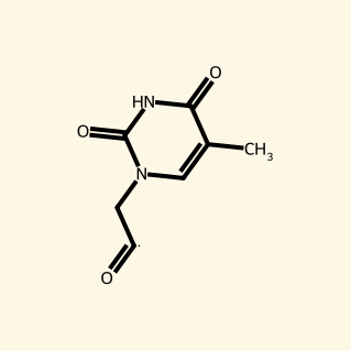 Cc1cn(C[C]=O)c(=O)[nH]c1=O